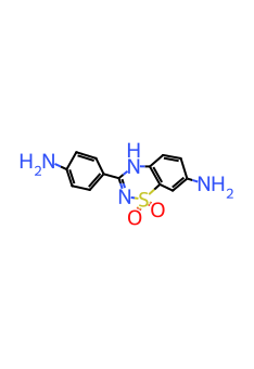 Nc1ccc(C2=NS(=O)(=O)c3cc(N)ccc3N2)cc1